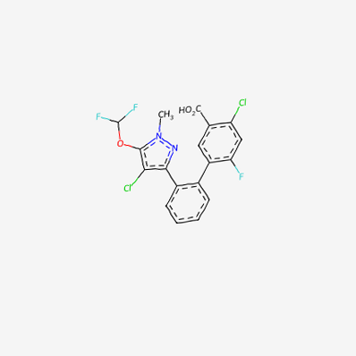 Cn1nc(-c2ccccc2-c2cc(C(=O)O)c(Cl)cc2F)c(Cl)c1OC(F)F